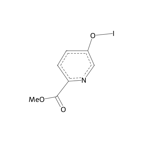 COC(=O)c1ccc(OI)cn1